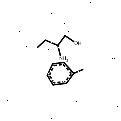 CCC(N)CO.Cc1ccccc1